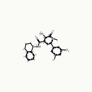 Cn1c(-c2cc(F)cc(C(F)(F)F)c2)cc(C(=O)N[C@@H]2CCCc3ccccc32)c(O)c1=O